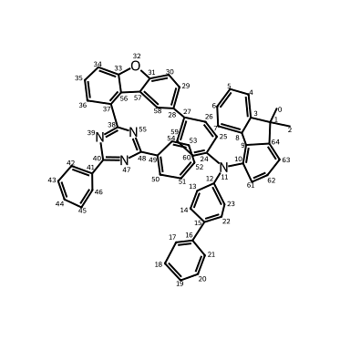 CC1(C)c2ccccc2-c2c(N(c3ccc(-c4ccccc4)cc3)c3ccc(-c4ccc5oc6cccc(-c7nc(-c8ccccc8)nc(-c8ccccc8)n7)c6c5c4)cc3)cccc21